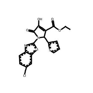 CCOC(=O)C1=C(O)C(=O)N(c2nc3ccc(Cl)cc3s2)C1c1cccs1